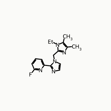 CCn1c(Cn2ccnc2-c2cccc(F)n2)nc(C)c1C